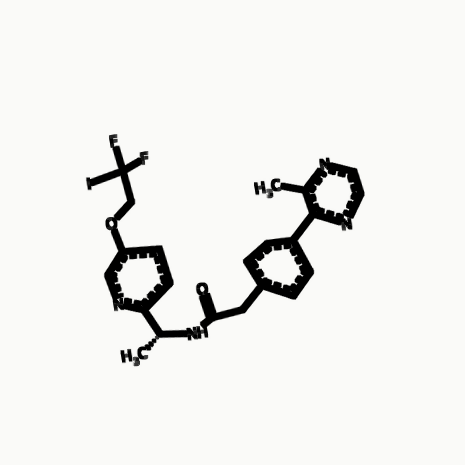 Cc1nccnc1-c1ccc(CC(=O)N[C@H](C)c2ccc(OCC(F)(F)I)cn2)cc1